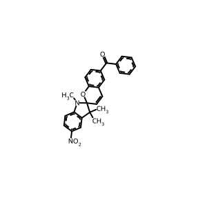 CN1c2ccc([N+](=O)[O-])cc2C(C)(C)C12C=Cc1cc(C(=O)c3ccccc3)ccc1O2